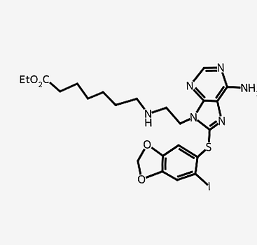 CCOC(=O)CCCCCCNCCn1c(Sc2cc3c(cc2I)OCO3)nc2c(N)ncnc21